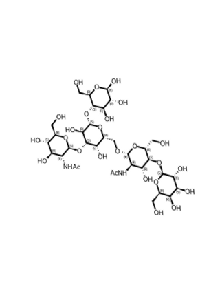 CC(=O)N[C@H]1[C@H](OC[C@H]2O[C@@H](O[C@H]3[C@H](O)[C@@H](O)[C@H](O)O[C@@H]3CO)[C@H](O)[C@@H](O[C@@H]3O[C@H](CO)[C@@H](O)[C@H](O)[C@H]3NC(C)=O)[C@H]2O)O[C@H](CO)[C@@H](O[C@@H]2O[C@H](CO)[C@H](O)[C@H](O)[C@H]2O)[C@@H]1O